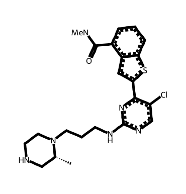 CNC(=O)c1cccc2sc(-c3nc(NCCCN4CCNC[C@H]4C)ncc3Cl)cc12